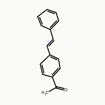 CC(=O)c1ccc(/C=C/c2ccccc2)cc1